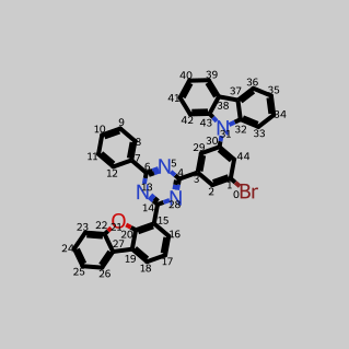 Brc1cc(-c2nc(-c3ccccc3)nc(-c3cccc4c3oc3ccccc34)n2)cc(-n2c3ccccc3c3ccccc32)c1